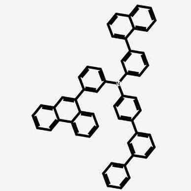 c1ccc(-c2cccc(-c3ccc(N(c4cccc(-c5cccc6ccccc56)c4)c4cccc(-c5cc6ccccc6c6ccccc56)c4)cc3)c2)cc1